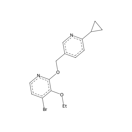 CCOc1c(Br)ccnc1OCc1ccc(C2CC2)nc1